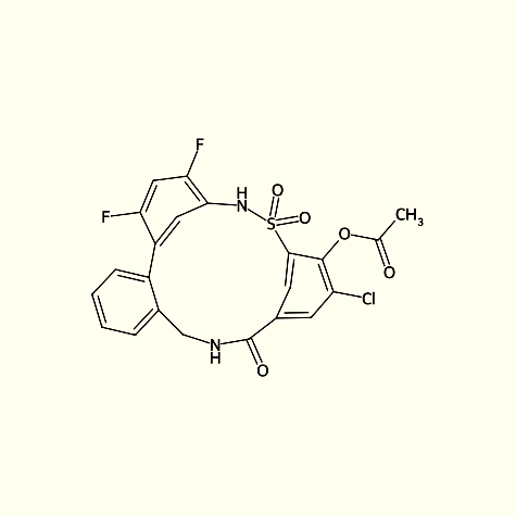 CC(=O)Oc1c(Cl)cc2cc1S(=O)(=O)Nc1cc(c(F)cc1F)-c1ccccc1CNC2=O